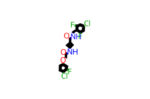 O=C(COc1ccc(Cl)c(F)c1)NC12CC(C(=O)NCc3c(F)cc(Cl)cc3F)(C1)C2